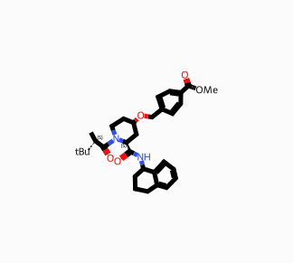 COC(=O)c1ccc(COC2CCN(C(=O)[C@@H](C)C(C)(C)C)[C@H](C(=O)NC3CCCc4ccccc43)C2)cc1